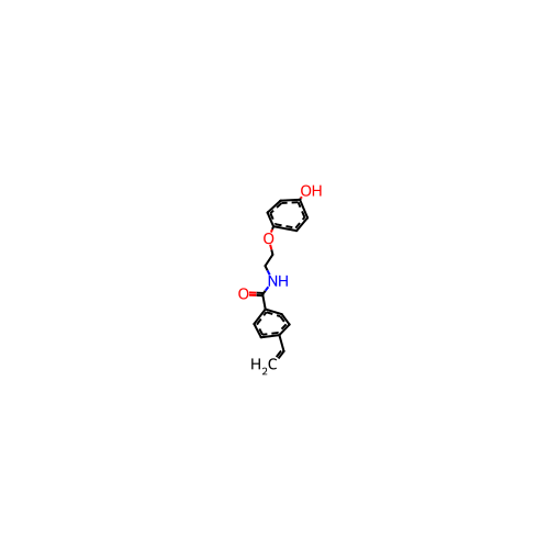 C=Cc1ccc(C(=O)NCCOc2ccc(O)cc2)cc1